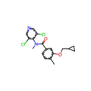 Cc1ccc(C(=O)N(C)c2c(Cl)cncc2Cl)cc1OCC1CC1